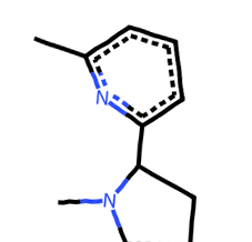 Cc1cccc(C2CCCN2C)n1